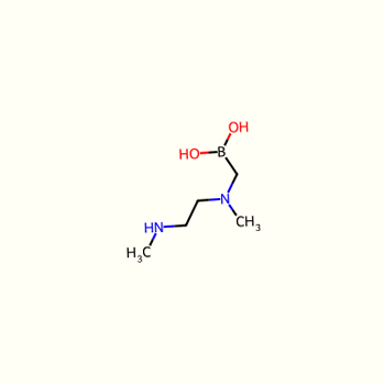 CNCCN(C)CB(O)O